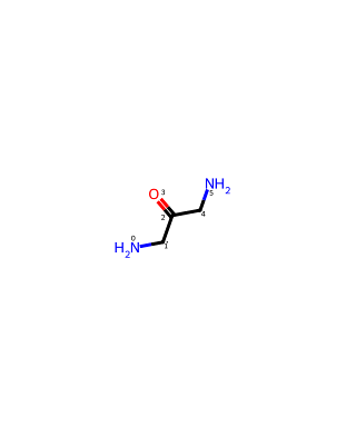 N[CH]C(=O)CN